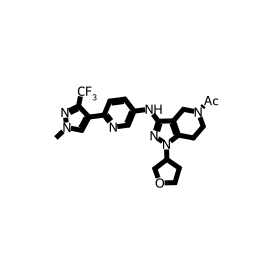 CC(=O)N1CCc2c(c(Nc3ccc(-c4cn(C)nc4C(F)(F)F)nc3)nn2C2CCOC2)C1